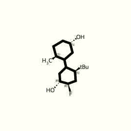 C[C@H]1CC[C@H](O)CC1C1C[C@@H](O)[C@H](F)C[C@@H]1C(C)(C)C